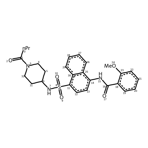 CCCC(=O)N1CCC(NS(=O)(=O)c2ccc(NC(=O)c3ccccc3OC)c3ccccc23)CC1